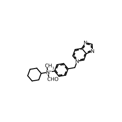 C[N+](C=O)(c1ccc(Cn2ccc3ncnc-3c2)cc1)C1CCCCC1